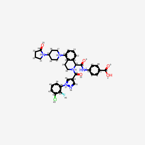 O=C(O)c1ccc(NC(=O)C2c3cccc(N4CCC(N5CCCC5=O)CC4)c3CCN2C(=O)c2cnn(-c3cccc(Cl)c3F)c2)cc1